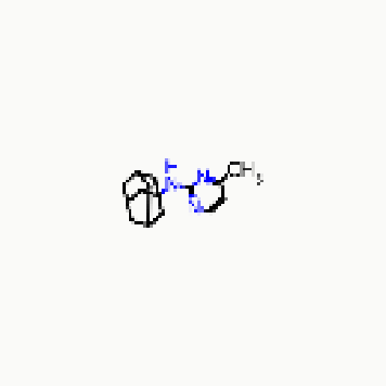 Cc1ccnc(NC23CC4CC(CC(C4)C2)C3)n1